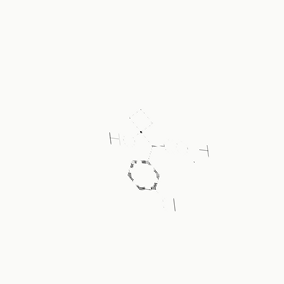 O=C(O)C(c1cccc(Cl)c1)C1(O)CCC1